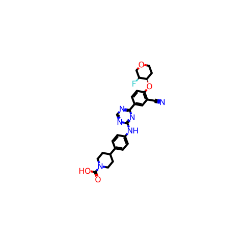 N#Cc1cc(-c2ncnc(Nc3ccc(C4CCN(C(=O)O)CC4)cc3)n2)ccc1O[C@H]1CCOC[C@@H]1F